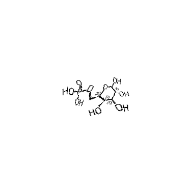 O=P(O)(O)OC[C@H]1OC(O)[C@H](O)[C@@H](O)[C@H]1O